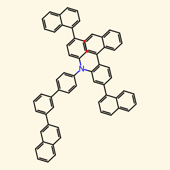 c1cc(-c2ccc(N(c3ccc(-c4cccc5ccccc45)cc3)c3cc(-c4cccc5ccccc45)ccc3-c3cccc4ccccc34)cc2)cc(-c2ccc3ccccc3c2)c1